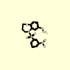 COc1ccc2c(c1)N(S(=O)(=O)c1cccc([N+](=O)[O-])c1)CCCC2